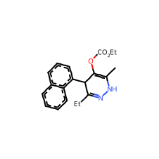 CCOC(=O)OC1=C(C)NN=C(CC)C1c1cccc2ccccc12